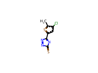 Cc1sc(C2=NC(=S)N=N2)cc1Cl